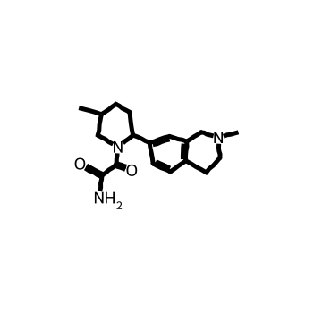 CC1CCC(c2ccc3c(c2)CN(C)CC3)N(C(=O)C(N)=O)C1